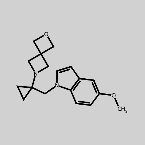 COc1ccc2c(ccn2CC2(N3CC4(COC4)C3)CC2)c1